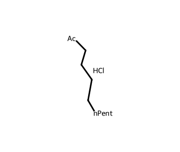 CCCCCCCCCC(C)=O.Cl